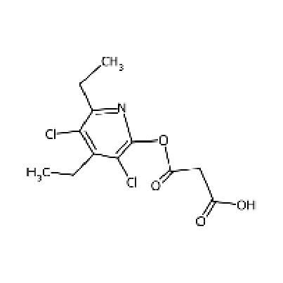 CCc1nc(OC(=O)CC(=O)O)c(Cl)c(CC)c1Cl